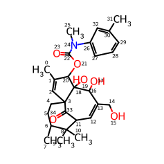 CC1=CC23CCC(C)C(C)(C)C(C=C(CO)C(O)C2(O)C1OC(=O)N(C)c1cccc(C)c1)C3=O